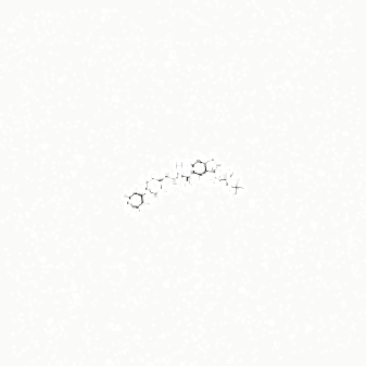 CC(C)(C)OC(=O)NC1CCc2ccc(C(=O)NCCC3CCN(c4ccncc4)CC3)cc21